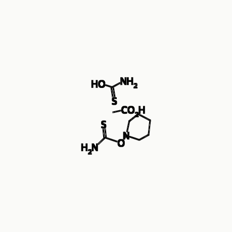 CC(=O)O.NC(=S)ON1CCCCC1.NC(O)=S